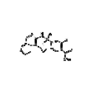 COC(=O)c1ccc(S(=O)(=O)Nc2ncc3ccccc3c2C2CC2)cc1Br